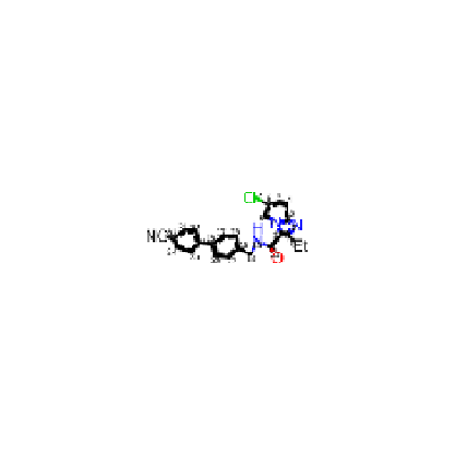 CCc1nc2ccc(Cl)cn2c1C(=O)NCc1ccc(-c2ccc(C#N)cc2)cc1